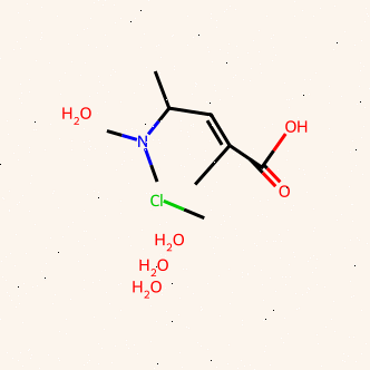 CC(=CC(C)N(C)C)C(=O)O.CCl.O.O.O.O